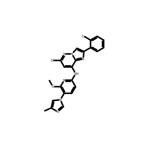 COc1nc(Nc2cc(Cl)nn3cc(-c4ccccc4Cl)nc23)ccc1-n1cnc(C)c1